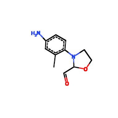 Cc1cc(N)ccc1N1CCOC1C=O